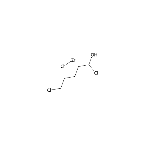 OC(Cl)CCCCCl.[Cl][Zr]